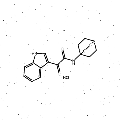 Cl.O=C(NC12CCN(CC1)CC2)C(=O)c1c[nH]c2ccccc12